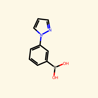 OB(O)c1cccc(-n2cccn2)c1